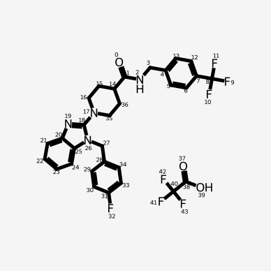 O=C(NCc1ccc(C(F)(F)F)cc1)C1CCN(c2nc3ccccc3n2Cc2ccc(F)cc2)CC1.O=C(O)C(F)(F)F